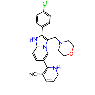 N#CC1=C(C2=CN3C(CN4CCOCC4)=C(c4ccc(Cl)cc4)NC3C=C2)NCC=C1